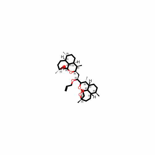 C=CCO[C@@H](C[C@H]1O[C@@H]2C[C@]3(C)CC[C@H]4[C@H](C)CC[C@@H]([C@H]1C)[C@@]24OO3)C1O[C@@H]2C[C@]3(C)CC[C@H]4[C@H](C)CC[C@@H]([C@H]1C)[C@@]24OO3